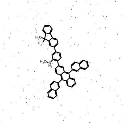 C[SiH2]c1cc(-c2ccc3c(c2)C(C)(C)c2ccccc2-3)ccc1-c1ccc2c(-c3ccc4ccccc4c3)c3ccccc3c(-c3ccc4ccccc4c3)c2c1